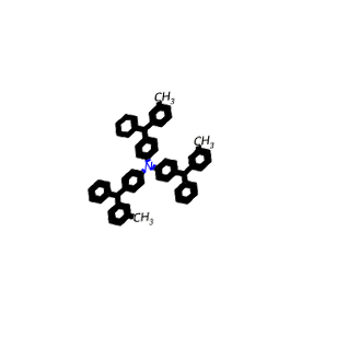 Cc1cccc(C(C2=CCCCC2)c2ccc(N(c3ccc(C(c4ccccc4)c4cccc(C)c4)cc3)c3ccc(C(c4ccccc4)c4cccc(C)c4)cc3)cc2)c1